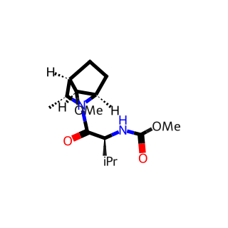 COC(=O)N[C@H](C(=O)N1[C@H](C)[C@H]2CC[C@@H]1[C@H]2OC)C(C)C